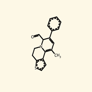 CC1=C2c3ccsc3CCN2C(C=O)C(c2ccccc2)=C1